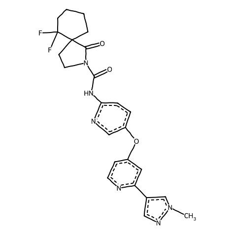 Cn1cc(-c2cc(Oc3ccc(NC(=O)N4CCC5(CCCCC5(F)F)C4=O)nc3)ccn2)cn1